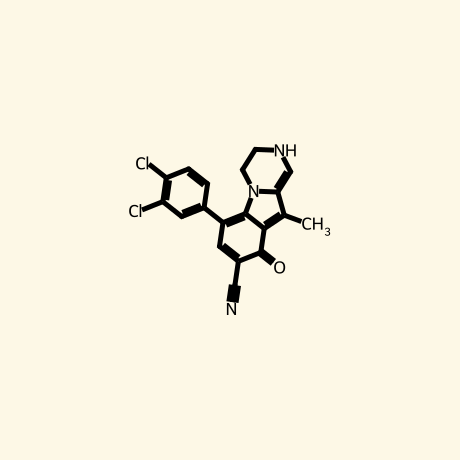 Cc1c2c(n3c1=CNCC3)=C(c1ccc(Cl)c(Cl)c1)C=C(C#N)C2=O